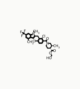 Cc1cc(C(F)(F)F)cc2c1cc(Cc1c(Cl)ccc(C(=O)N3CC[C@@H](C(=O)OCO)[C@H](C)C3)c1Cl)n2C